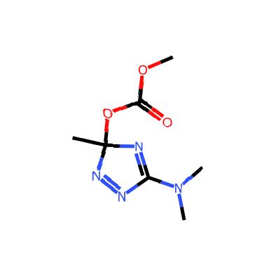 COC(=O)OC1(C)N=NC(N(C)C)=N1